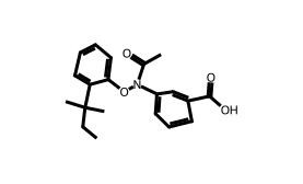 CCC(C)(C)c1ccccc1ON(C(C)=O)c1cccc(C(=O)O)c1